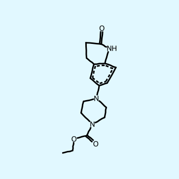 CCOC(=O)N1CCN(c2ccc3c(c2)CCC(=O)N3)CC1